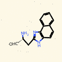 N[C@@H]([C]=O)Cc1nc2c(ccc3ccccc32)[nH]1